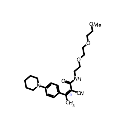 COCCOCCOCCNC(=O)/C(C#N)=C(/C)c1ccc(N2CCCCC2)cc1